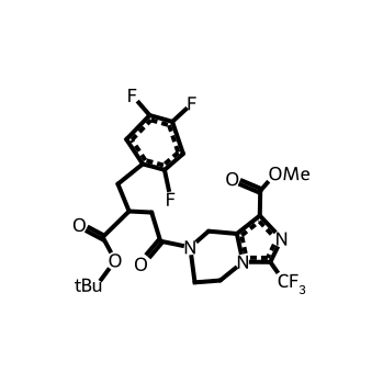 COC(=O)c1nc(C(F)(F)F)n2c1CN(C(=O)CC(Cc1cc(F)c(F)cc1F)C(=O)OC(C)(C)C)CC2